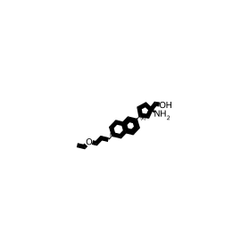 CCOCCC[C@@H]1CCc2cc([C@@H]3CC[C@](N)(CO)C3)ccc2C1